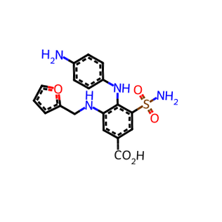 Nc1ccc(Nc2c(NCc3ccco3)cc(C(=O)O)cc2S(N)(=O)=O)cc1